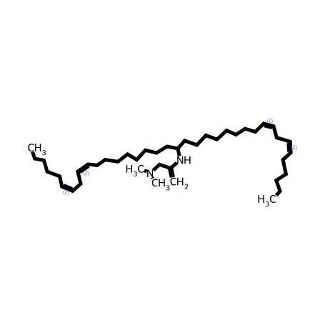 C=C(CN(C)C)NC(CCCCCCCC/C=C\C/C=C\CCCCC)CCCCCCCC/C=C\C/C=C\CCCCC